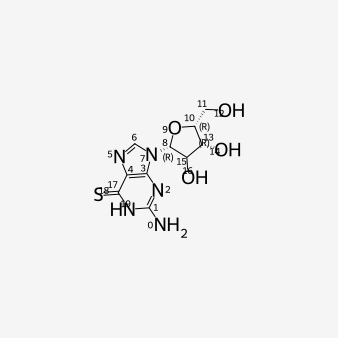 Nc1nc2c(ncn2[C@@H]2O[C@H](CO)[C@H](O)C2O)c(=S)[nH]1